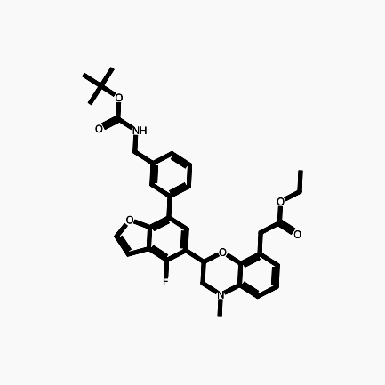 CCOC(=O)Cc1cccc2c1OC(c1cc(-c3cccc(CNC(=O)OC(C)(C)C)c3)c3occc3c1F)CN2C